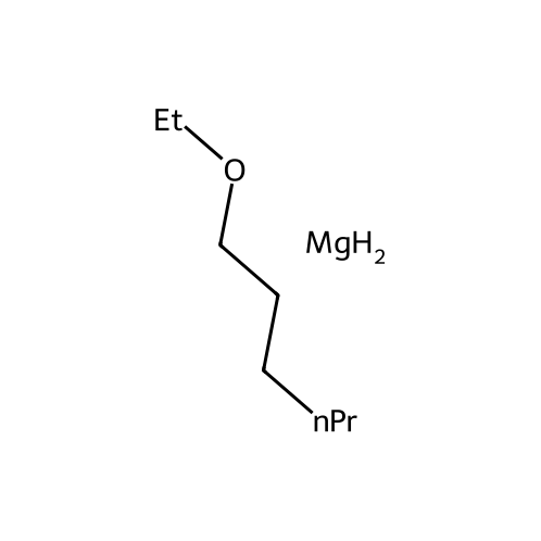 CCCCCCOCC.[MgH2]